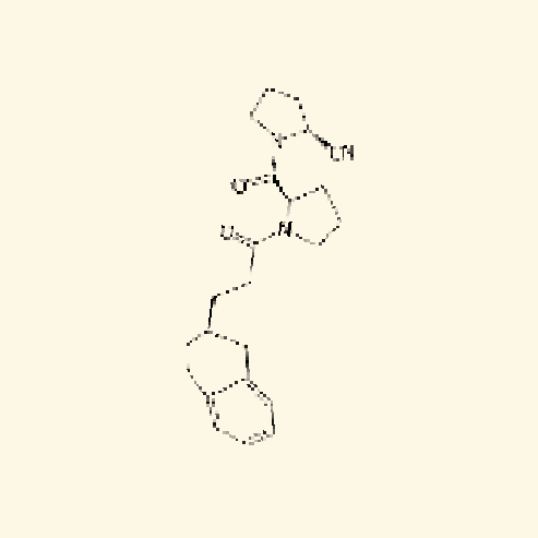 N#C[C@@H]1CCCN1C(=O)[C@H]1CCCN1C(=O)CC[C@@H]1CCc2ccccc2C1